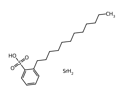 CCCCCCCCCCCCc1ccccc1S(=O)(=O)O.[SrH2]